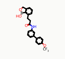 O=C(CCc1cccc2c1B(O)OC2)Nc1cccc(-c2ccc(OC(F)(F)F)cc2)c1